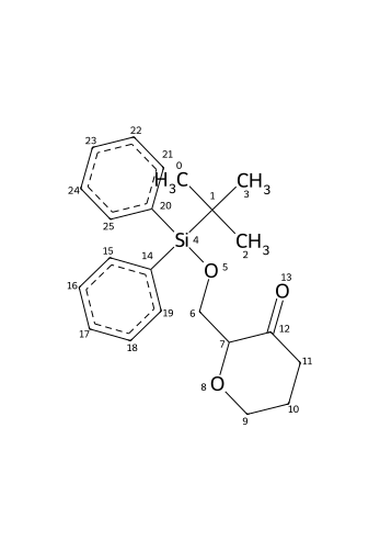 CC(C)(C)[Si](OCC1OCCCC1=O)(c1ccccc1)c1ccccc1